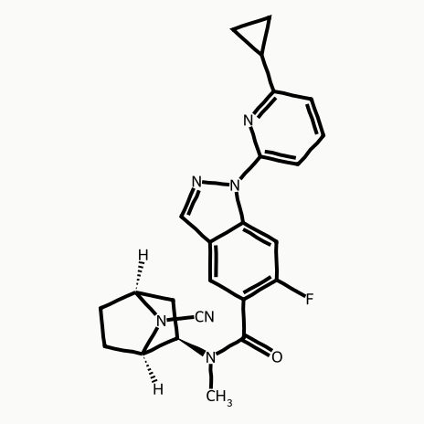 CN(C(=O)c1cc2cnn(-c3cccc(C4CC4)n3)c2cc1F)[C@@H]1C[C@@H]2CC[C@H]1N2C#N